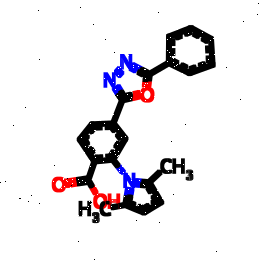 Cc1ccc(C)n1-c1cc(-c2nnc(-c3ccccc3)o2)ccc1C(=O)O